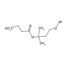 CC(C)OCCC(C)(C)OC(=O)CCC(=O)O